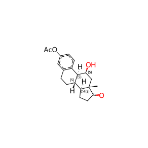 CC(=O)Oc1ccc2c(c1)CC[C@@H]1[C@@H]2[C@@H](O)C[C@]2(C)C(=O)CC[C@@H]12